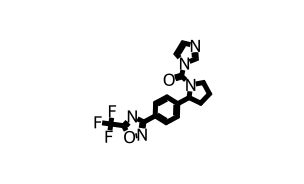 O=C(N1CCCC1c1ccc(-c2noc(C(F)(F)F)n2)cc1)n1ccnc1